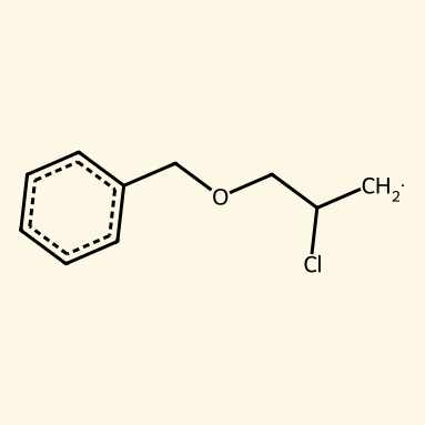 [CH2]C(Cl)COCc1ccccc1